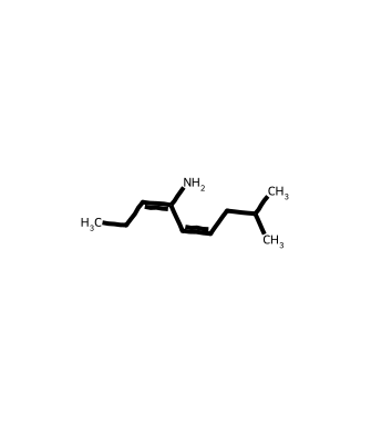 CC/C=C(N)\C=C/CC(C)C